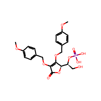 COc1ccc(COC2=C(OCc3ccc(OC)cc3)[C@@H]([C@H](CO)OP(=O)(O)O)OC2=O)cc1